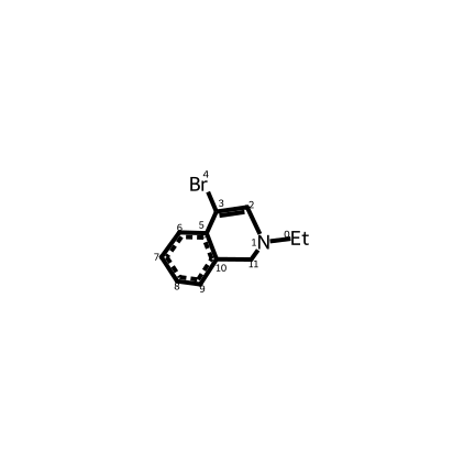 CCN1C=C(Br)c2ccccc2C1